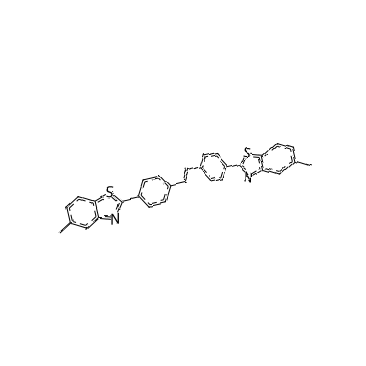 Cc1ccc2sc(-c3ccc(/C=C/c4ccc(-c5nc6cc(C)ccc6s5)cc4)cc3)nc2c1